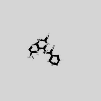 Cc1cnc2[nH]c(=O)nc(NC(=O)c3ccccc3)c2n1